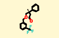 C[C@](CC=O)(COCc1cccc(C(F)(F)F)c1)c1ccccc1